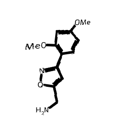 COc1ccc(-c2cc(CN)on2)c(OC)c1